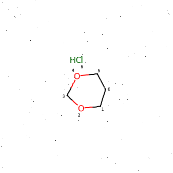 C1COCOC1.Cl